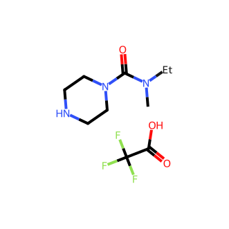 CCN(C)C(=O)N1CCNCC1.O=C(O)C(F)(F)F